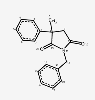 CC1(c2ccccc2)CC(=O)N(Cc2ccccc2)C1=O